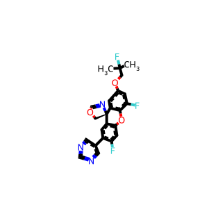 CC(C)(F)COc1cc(F)c2c(c1)[C@]1(COC=N1)c1cc(-c3cncnc3)c(F)cc1O2